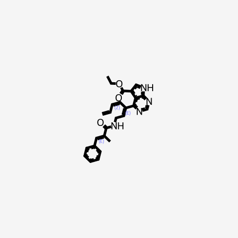 C=C/C=C\C(=C/CNC(=O)/C(C)=C/c1ccccc1)c1ncnc2[nH]cc(C(=O)OCC)c12